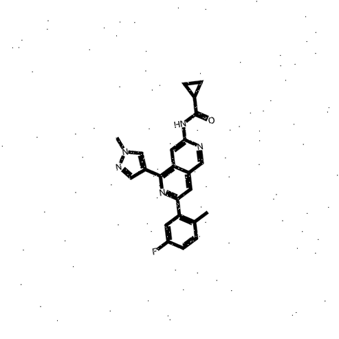 Cc1ccc(F)cc1-c1cc2cnc(NC(=O)C3CC3)cc2c(-c2cnn(C)c2)n1